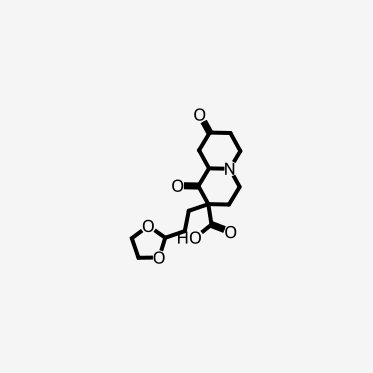 O=C1CCN2CCC(CCC3OCCO3)(C(=O)O)C(=O)C2C1